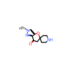 CCCn1cc2c(n1)C(=O)CC1(CCNCC1)O2